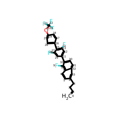 C=CCCc1ccc2c(F)c(-c3cc(F)c(-c4ccc(OC(F)(F)F)cc4)c(F)c3)ccc2c1